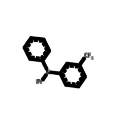 CC(C)N(c1ccccc1)c1cccc(C(F)(F)F)c1